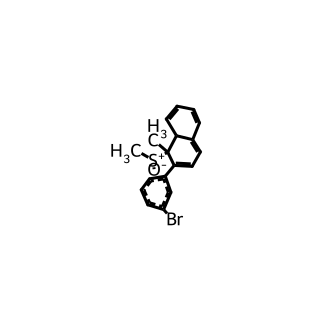 C[S+]([O-])C1(C)C(c2cccc(Br)c2)=CC=C2C=CC=CC21